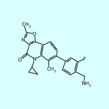 Cc1nc2c(=O)n(C3CC3)c3c(C)c(-c4ccc(CN)c(F)c4)ccc3c2o1